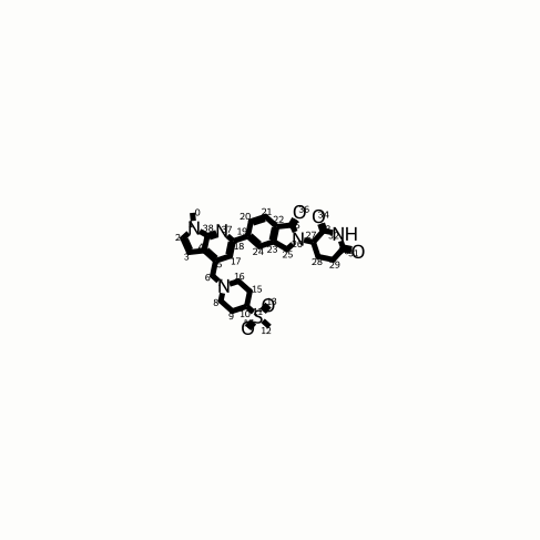 Cn1ccc2c(CN3CCC(S(C)(=O)=O)CC3)cc(-c3ccc4c(c3)CN(C3CCC(=O)NC3=O)C4=O)nc21